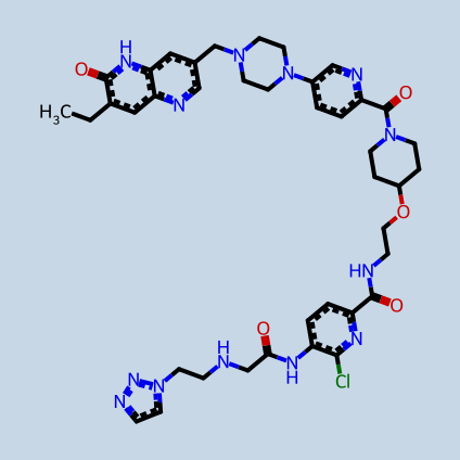 CCc1cc2ncc(CN3CCN(c4ccc(C(=O)N5CCC(OCCNC(=O)c6ccc(NC(=O)CNCCn7ccnn7)c(Cl)n6)CC5)nc4)CC3)cc2[nH]c1=O